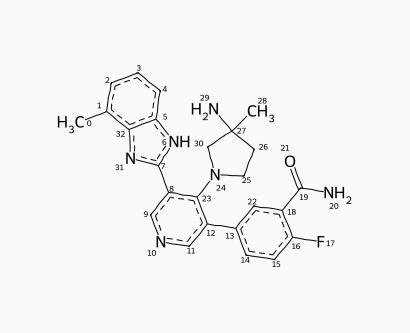 Cc1cccc2[nH]c(-c3cncc(-c4ccc(F)c(C(N)=O)c4)c3N3CCC(C)(N)C3)nc12